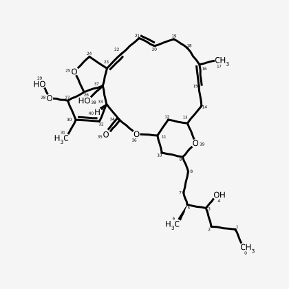 CCCC(O)[C@@H](C)CCC1CC2CC(C/C=C(\C)CC/C=C/C=C3\COC4C(OO)C(C)=C[C@@H](C(=O)O2)C34O)O1